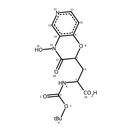 CC(C)(C)OC(=O)NC(CC1Oc2ccncc2N(O)C1=O)C(=O)O